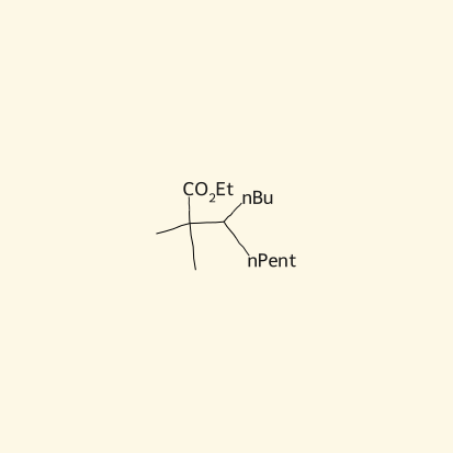 CCCCCC(CCCC)C(C)(C)C(=O)OCC